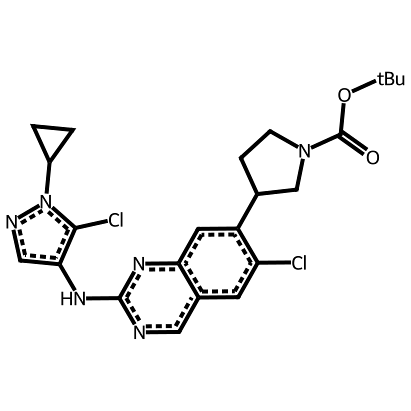 CC(C)(C)OC(=O)N1CCC(c2cc3nc(Nc4cnn(C5CC5)c4Cl)ncc3cc2Cl)C1